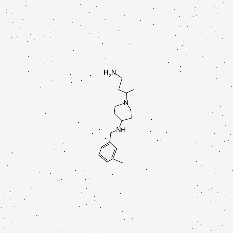 Cc1cccc(CNC2CCN(C(C)CCN)CC2)c1